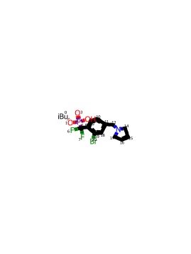 CCC(C)OP(=O)(O)C(F)(F)c1ccc(CN2CC=CC2)cc1Br